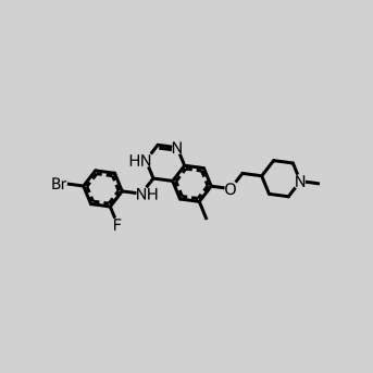 Cc1cc2c(cc1OCC1CCN(C)CC1)N=CNC2Nc1ccc(Br)cc1F